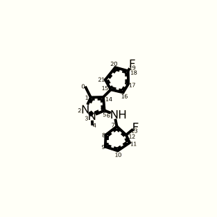 Cc1nn(C)c(Nc2ccccc2F)c1-c1ccc(F)cc1